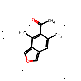 CC(=O)c1c(C)cc2cocc2c1C